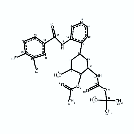 CC(=O)OC1C(C)CC(c2ccncc2NC(=O)c2ccc(F)c(Br)n2)CC1NC(=O)OC(C)(C)C